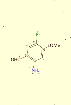 COc1cc(N)c(C=O)cc1F